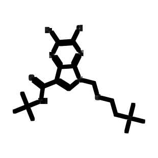 CC(C)(C)NC(=O)c1cn(COCC[Si](C)(C)C)c2nc(Cl)c(Br)nc12